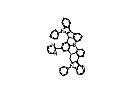 c1ccc(-n2c3c(c4ccccc42)-c2cccc4c2C3c2cc(-c3ncccn3)cc3c2B4c2cccc4c2C3Cc2c-4c3ncccc3n2-c2ccccc2)cc1